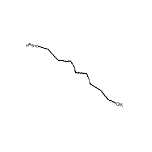 CCCCCCCCCCC[CH]CO